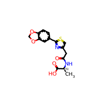 C[C@H](NC(=O)Cc1csc(-c2ccc3c(c2)OCO3)n1)C(=O)O